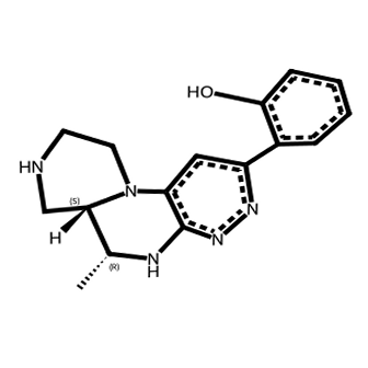 C[C@H]1Nc2nnc(-c3ccccc3O)cc2N2CCNC[C@@H]12